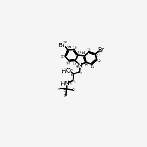 CC(C)(C)NCC(O)Cn1c2ccc(Br)cc2c2cc(Br)ccc21